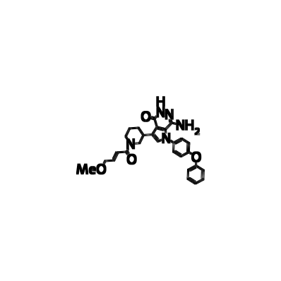 COCC=CC(=O)N1CCCC(c2cn(-c3ccc(Oc4ccccc4)cc3)c3c(N)n[nH]c(=O)c23)C1